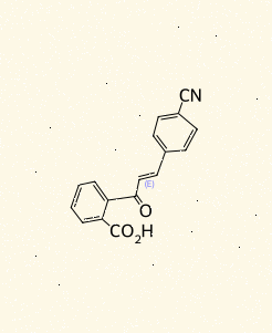 N#Cc1ccc(/C=C/C(=O)c2ccccc2C(=O)O)cc1